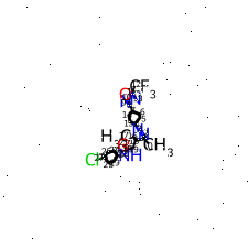 Cc1nn(-c2ccc(-c3noc(C(F)(F)F)n3)cc2)c(C)c1CC(=O)Nc1ccc(Cl)cc1